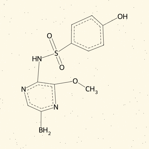 Bc1cnc(NS(=O)(=O)c2ccc(O)cc2)c(OC)n1